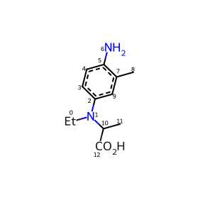 CCN(c1ccc(N)c(C)c1)C(C)C(=O)O